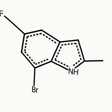 Cc1cc2cc(F)cc(Br)c2[nH]1